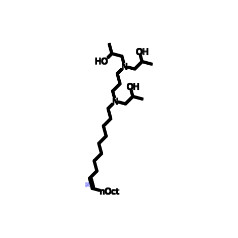 CCCCCCCC/C=C\CCCCCCCCN(CCCN(CC(C)O)CC(C)O)CC(C)O